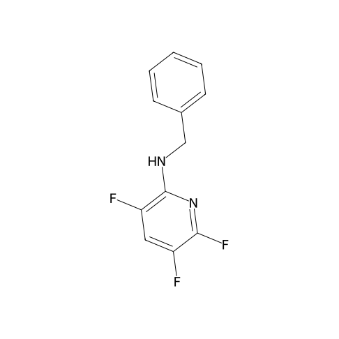 Fc1cc(F)c(NCc2ccccc2)nc1F